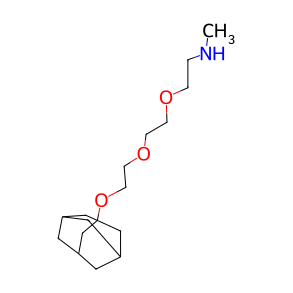 CNCCOCCOCCOC12CC3CC(CC(C3)C1)C2